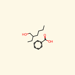 CCCCC(CC)CO.O=C(O)c1ccccc1